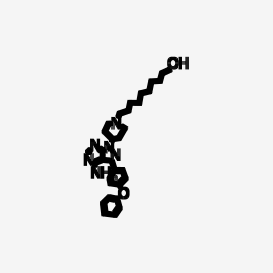 Nc1ncnc2c1c(-c1ccc(Oc3ccccc3)cc1)nn2C1CCN(CCCCCCCCCCO)CC1